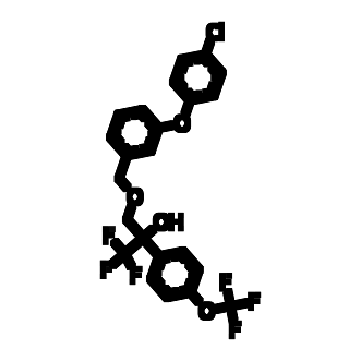 OC(COCc1cccc(Oc2ccc(Cl)cc2)c1)(c1ccc(OC(F)(F)F)cc1)C(F)(F)F